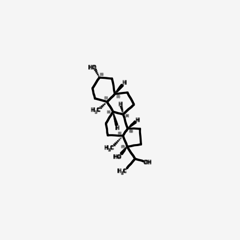 CC(O)[C@@]1(O)CC[C@H]2[C@@H]3CC[C@H]4C[C@@H](O)CC[C@]4(C)[C@H]3CC[C@@]21C